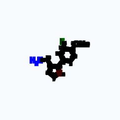 COc1ccc(-c2sccc2CN)cc1F